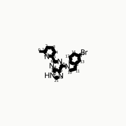 Cc1cccc(-c2nc(-n3ccc4cc(Br)ccc43)c3nc[nH]c3n2)n1